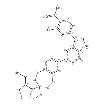 CCC1(N2CCC[C@H]2CO)CCc2ccc(-c3cnc4[nH]nc(-c5ccc(C(N)=O)c(Cl)c5)c4c3)cc2CC1